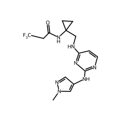 Cn1cc(Nc2nccc(NCC3(NC(=O)CC(F)(F)F)CC3)n2)cn1